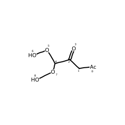 CC(=O)CC(=O)C(OO)OO